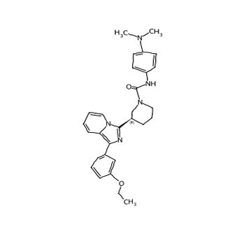 CCOc1cccc(-c2nc([C@@H]3CCCN(C(=O)Nc4ccc(N(C)C)cc4)C3)n3ccccc23)c1